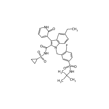 CCc1ccc2c(c1)c(-c1ccc[nH]c1=O)c(C(=O)NS(=O)(=O)C1CC1)n2Cc1cc(S(=O)(=O)NC(C)(C)C)ccc1F